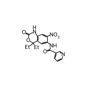 CCC1(CC)OC(=O)Nc2cc([N+](=O)[O-])c(NC(=O)c3cccnc3)cc21